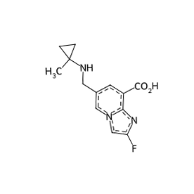 CC1(NCc2cc(C(=O)O)c3nc(F)cn3c2)CC1